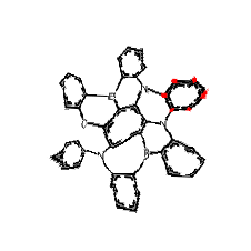 c1ccc(N2c3ccccc3B3c4ccccc4N(c4ccccc4)c4c3c2c2c3c4N(c4ccccc4)c4ccccc4B3c3ccccc3O2)cc1